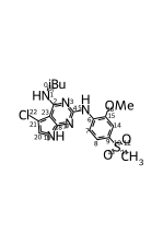 CC[C@H](C)Nc1nc(Nc2ccc(S(C)(=O)=O)cc2OC)nc2[nH]cc(Cl)c12